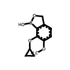 COc1ccc2c(c1OC1CC1)B(O)OC2